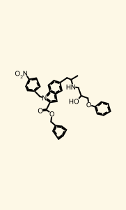 CC(Cc1ccc2c(c1)cc(C(=O)OCc1ccccc1)n2Cc1ccc([N+](=O)[O-])cc1)NCC(O)COc1ccccc1